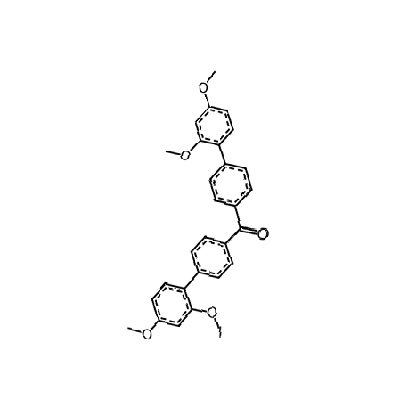 COc1ccc(-c2ccc(C(=O)c3ccc(-c4ccc(OC)cc4OI)cc3)cc2)c(OC)c1